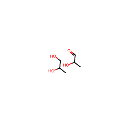 CC(O)C=O.CC(O)CO